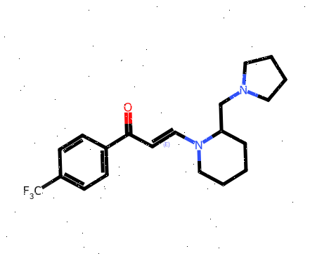 O=C(/C=C/N1CCCCC1CN1CCCC1)c1ccc(C(F)(F)F)cc1